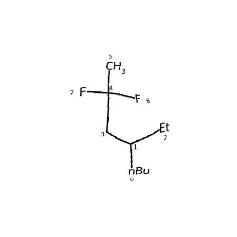 CCCCC(CC)CC(C)(F)F